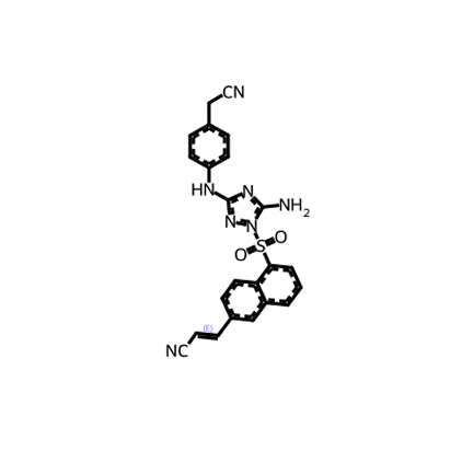 N#C/C=C/c1ccc2c(S(=O)(=O)n3nc(Nc4ccc(CC#N)cc4)nc3N)cccc2c1